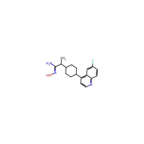 CC(C(N)=NO)C1CCC(c2ccnc3ccc(F)cc23)CC1